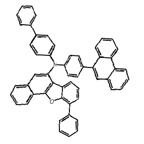 c1ccc(-c2ccc(N(c3ccc(-c4cc5ccccc5c5ccccc45)cc3)c3cc4ccccc4c4oc5c(-c6ccccc6)cccc5c34)cc2)cc1